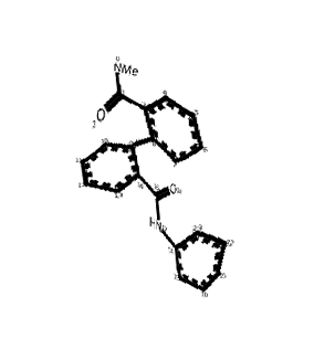 CNC(=O)c1ccccc1-c1ccccc1C(=O)Nc1ccccc1